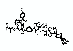 O=C(NCC[C@H](NC(=O)c1ccc(Nc2nc(NC3(c4ccc(Cl)cc4)CC3)nc(OCC(F)(F)F)n2)cc1)C(=O)O)C(=O)Nc1ccc(-n2cncn2)cc1